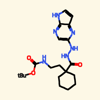 CC(C)(C)OC(=O)NCCC1(C(=O)NNc2cnc3[nH]ccc3n2)CCCCC1